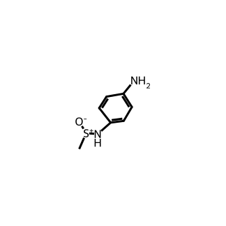 C[S+]([O-])Nc1ccc(N)cc1